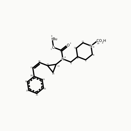 CC(C)(C)OC(=O)N(CC1CCN(C(=O)O)CC1)C1CC1/C=C\c1ccccc1